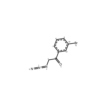 [N-]=[N+]=NCC(=O)c1cccc(Br)c1